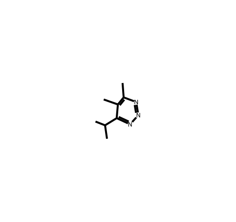 Cc1nnnc(C(C)C)c1C